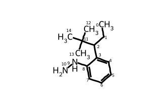 CCC(c1ccccc1NN)C(C)(C)C